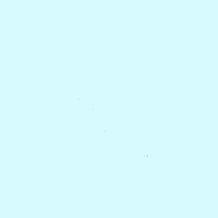 COC(=O)CC(N)Cc1ccc2sccc2c1